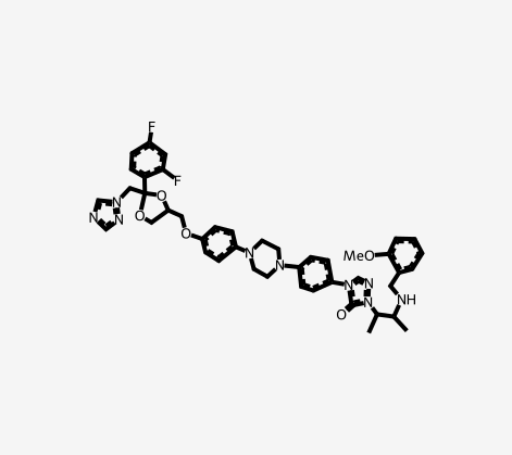 COc1ccccc1CNC(C)C(C)n1ncn(-c2ccc(N3CCN(c4ccc(OCC5COC(Cn6cncn6)(c6ccc(F)cc6F)O5)cc4)CC3)cc2)c1=O